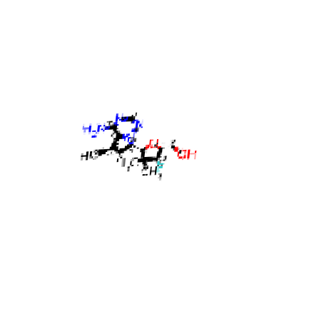 C#Cc1cc([C@@H]2O[C@H](CO)[C@@H](F)C2(C)C)n2ncnc(N)c12